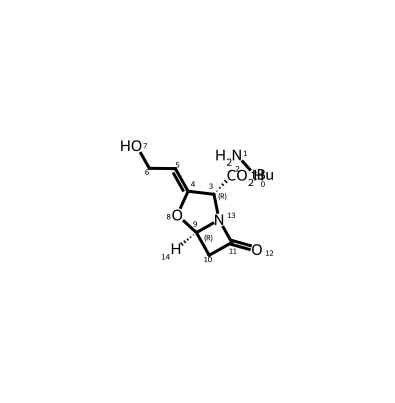 CC(C)(C)N.O=C(O)[C@H]1C(=CCO)O[C@@H]2CC(=O)N12